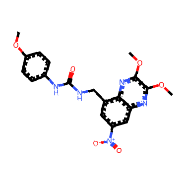 COc1ccc(NC(=O)NCc2cc([N+](=O)[O-])cc3nc(OC)c(OC)nc23)cc1